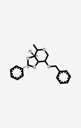 CC1OCC(OCc2ccccc2)C2O[C@H](c3ccccc3)O[C@H]12